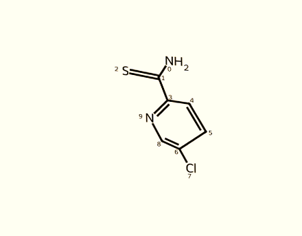 NC(=S)c1ccc(Cl)cn1